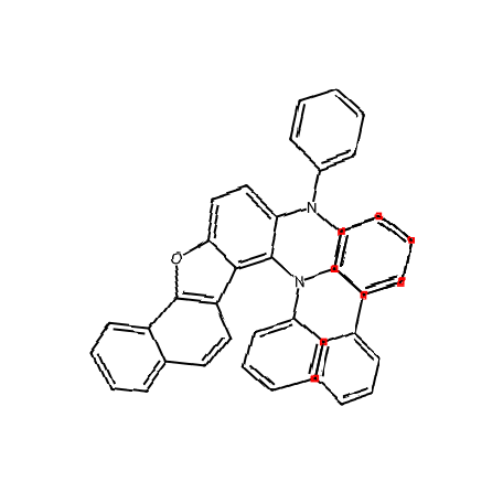 c1ccc(-c2ccccc2N(c2ccccc2)c2c(N(c3ccccc3)c3ccccc3)ccc3oc4c5ccccc5ccc4c23)cc1